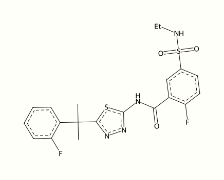 CCNS(=O)(=O)c1ccc(F)c(C(=O)Nc2nnc(C(C)(C)c3ccccc3F)s2)c1